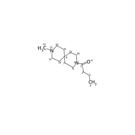 CCCC(=O)N1CCC2(CCN(C)CC2)CC1